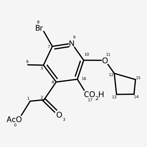 CC(=O)OCC(=O)c1c(C)c(Br)nc(OC2CCC2)c1C(=O)O